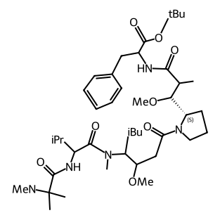 CCC(C)C(C(CC(=O)N1CCC[C@H]1C(OC)C(C)C(=O)NC(Cc1ccccc1)C(=O)OC(C)(C)C)OC)N(C)C(=O)C(NC(=O)C(C)(C)NC)C(C)C